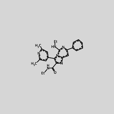 CCNC(=O)c1nc2cc(-c3ccccc3)nc(NCC)n2c1-c1cc(C)nc(C)c1